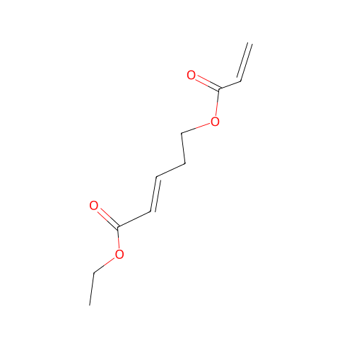 C=CC(=O)OCCC=CC(=O)OCC